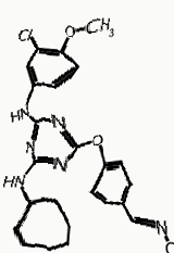 COc1ccc(Nc2nc(NC3CCCCCC3)nc(Oc3ccc(/C=N/O)cc3)n2)cc1Cl